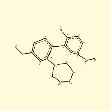 CCc1ccc(-c2cc(OC)ccc2F)c(C2CCCCC2)c1